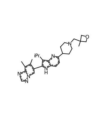 Cc1c(-c2[nH]c3ccc(C4CCN(CC5(C)COC5)CC4)nc3c2C(C)C)cn2ncnc2c1C